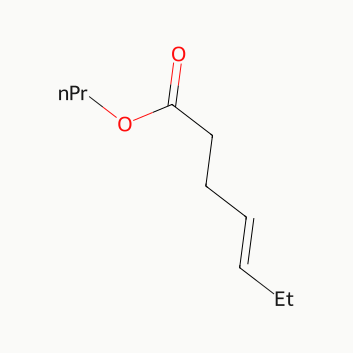 [CH2]CC=CCCC(=O)OCCC